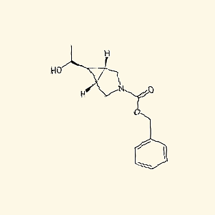 CC(O)[C@H]1[C@@H]2CN(C(=O)OCc3ccccc3)C[C@@H]21